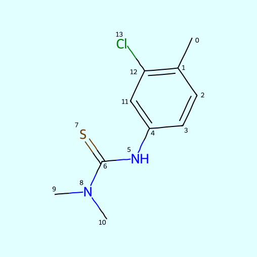 Cc1ccc(NC(=S)N(C)C)cc1Cl